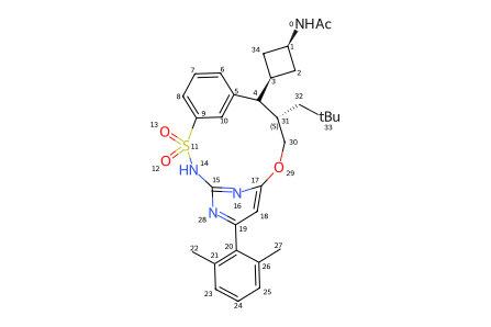 CC(=O)N[C@H]1C[C@@H](C2c3cccc(c3)S(=O)(=O)Nc3nc(cc(-c4c(C)cccc4C)n3)OC[C@H]2CC(C)(C)C)C1